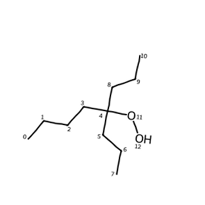 CCCCC(CCC)(CCC)OO